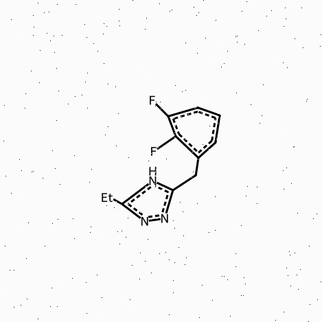 CCc1nnc(Cc2cccc(F)c2F)[nH]1